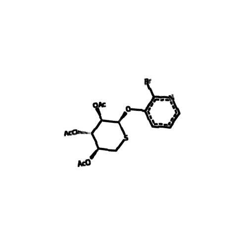 CC(=O)O[C@@H]1[C@@H](OC(C)=O)[C@@H](Oc2cccnc2Br)SC[C@H]1OC(C)=O